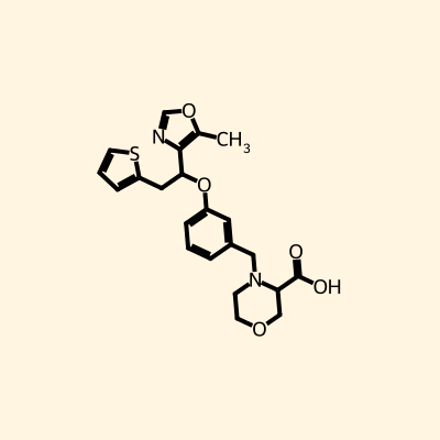 Cc1ocnc1C(Cc1cccs1)Oc1cccc(CN2CCOCC2C(=O)O)c1